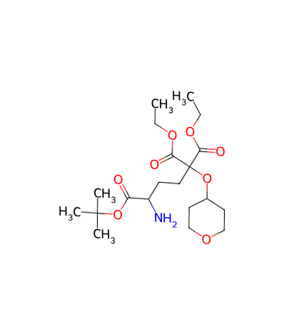 CCOC(=O)C(CCC(N)C(=O)OC(C)(C)C)(OC1CCOCC1)C(=O)OCC